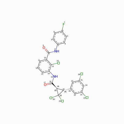 O=C(Nc1ccc(F)cc1)c1cccc(NC(=O)[C@H]2[C@H](c3cc(Cl)cc(Cl)c3)C2(Cl)Cl)c1Cl